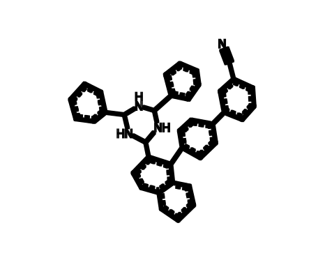 N#Cc1cccc(-c2ccc(-c3c(C4NC(c5ccccc5)NC(c5ccccc5)N4)ccc4ccccc34)cc2)c1